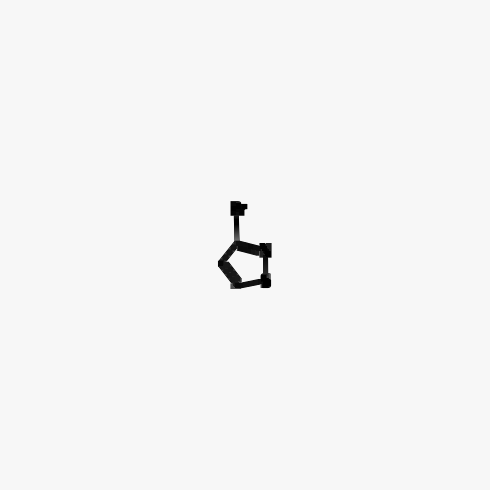 Brc1c[c]sn1